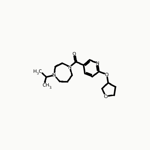 CC(C)N1CCCN(C(=O)c2ccc(OC3CCOC3)nc2)CC1